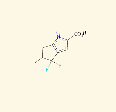 CC1Cc2[nH]c(C(=O)O)cc2C1(F)F